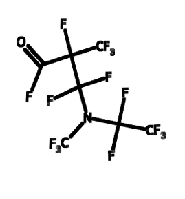 O=C(F)C(F)(C(F)(F)F)C(F)(F)N(C(F)(F)F)C(F)(F)C(F)(F)F